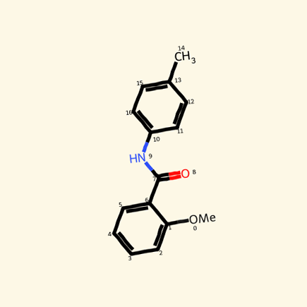 COc1ccccc1C(=O)Nc1ccc(C)cc1